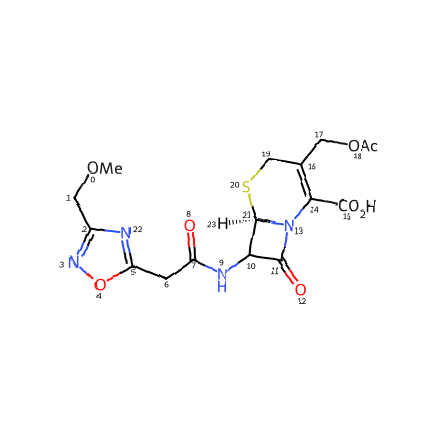 COCc1noc(CC(=O)NC2C(=O)N3C(C(=O)O)=C(COC(C)=O)CS[C@H]23)n1